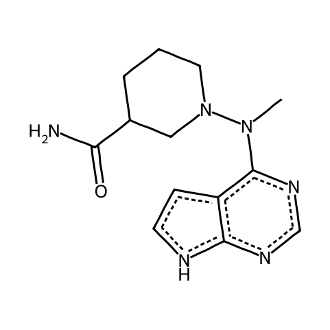 CN(c1ncnc2[nH]ccc12)N1CCCC(C(N)=O)C1